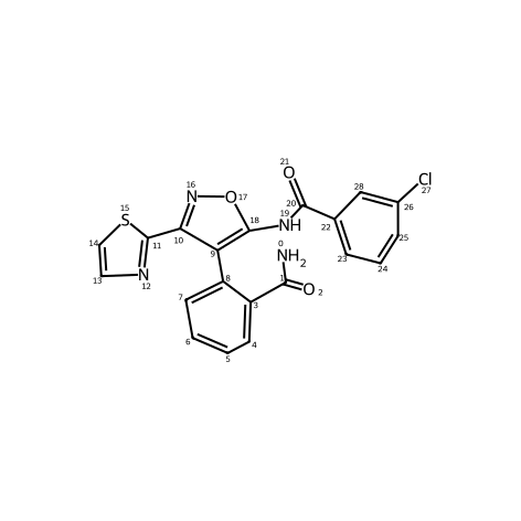 NC(=O)c1ccccc1-c1c(-c2nccs2)noc1NC(=O)c1cccc(Cl)c1